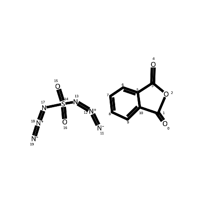 O=C1OC(=O)c2ccccc21.[N-]=[N+]=NS(=O)(=O)N=[N+]=[N-]